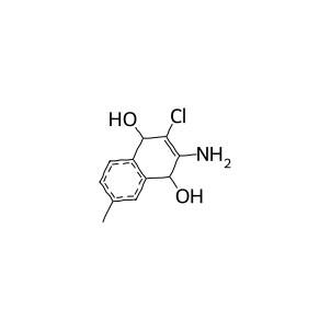 Cc1ccc2c(c1)C(O)C(N)=C(Cl)C2O